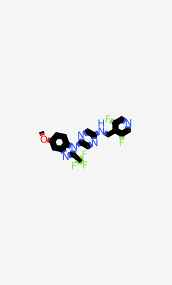 COc1ccc2c(c1)nc(C(F)(F)F)n2-c1cnc(NCc2c(F)cncc2F)cn1